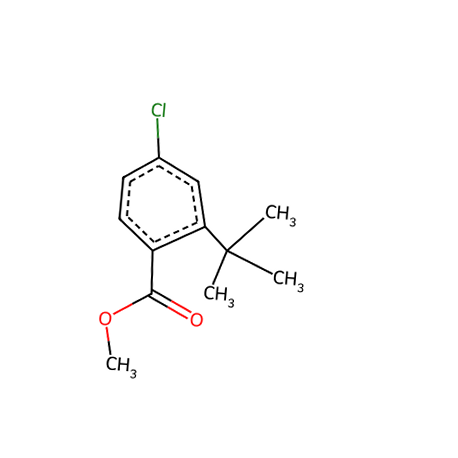 COC(=O)c1ccc(Cl)cc1C(C)(C)C